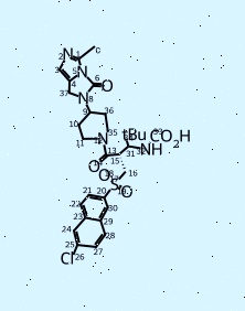 Cc1ncc2n1C(=O)N(C1CCN(C(=O)[C@@H](CS(=O)(=O)c3ccc4cc(Cl)ccc4c3)C(NC(=O)O)C(C)(C)C)CC1)C2